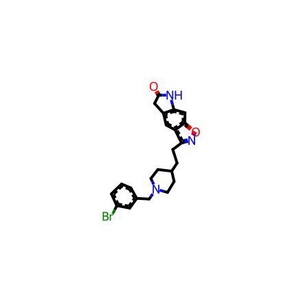 O=C1Cc2cc3c(CCC4CCN(Cc5cccc(Br)c5)CC4)noc3cc2N1